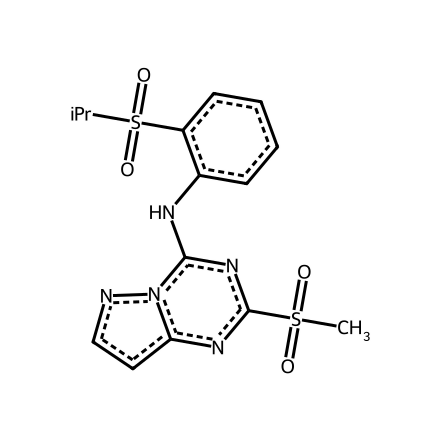 CC(C)S(=O)(=O)c1ccccc1Nc1nc(S(C)(=O)=O)nc2ccnn12